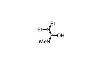 CCN(CC)P(O)NC